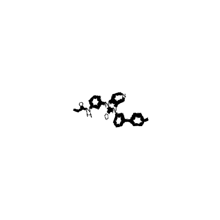 C=CC(=O)Nc1cccc(-n2c(=O)n(-c3cccc(-c4ccc(C)cc4)c3)c3cnccc32)c1